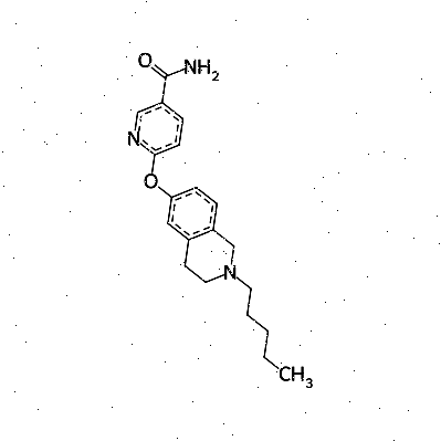 CCCCCN1CCc2cc(Oc3ccc(C(N)=O)cn3)ccc2C1